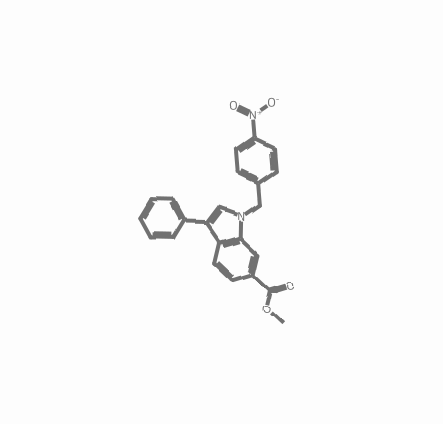 COC(=O)c1ccc2c(-c3ccccc3)cn(Cc3ccc([N+](=O)[O-])cc3)c2c1